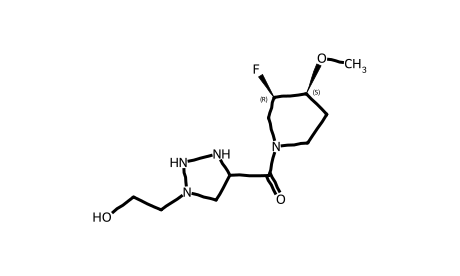 CO[C@H]1CCN(C(=O)C2CN(CCO)NN2)C[C@H]1F